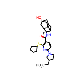 O=C(O)C[C@@H]1CCN(c2ccc(C(=O)N[C@H]3C4CC5CC3C[C@](O)(C5)C4)c(SC3CCCC3)n2)C1